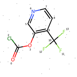 O=C(Cl)Oc1cnccc1C(F)(F)F